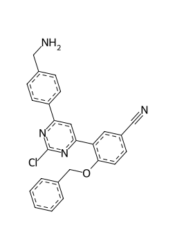 N#Cc1ccc(OCc2ccccc2)c(-c2cc(-c3ccc(CN)cc3)nc(Cl)n2)c1